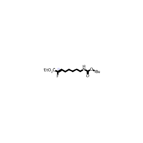 CCOC(=O)/C(F)=C/CCCCCNC(=O)OC(C)(C)C